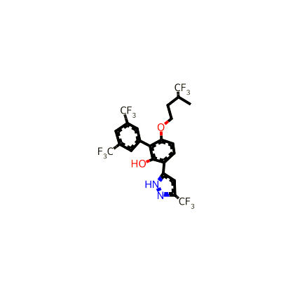 CC(CCOc1ccc(-c2cc(C(F)(F)F)n[nH]2)c(O)c1-c1cc(C(F)(F)F)cc(C(F)(F)F)c1)C(F)(F)F